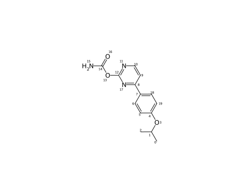 CC(C)Oc1ccc(-c2ccnc(OC(N)=O)n2)cc1